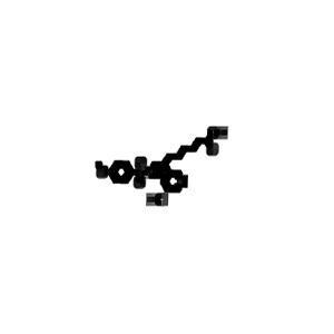 COc1ccc(S(=O)(=O)NCC(CCCCCC(=O)O)c2cccnc2)cc1.Cl